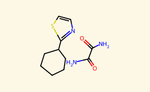 NC(=O)C(N)=O.c1csc(C2CCCCC2)n1